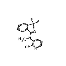 CN(C(=O)c1ccccc1C(F)(F)F)c1cccnc1Cl